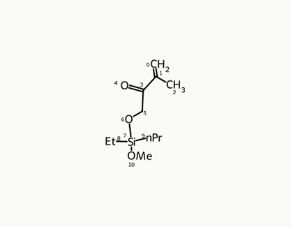 C=C(C)C(=O)CO[Si](CC)(CCC)OC